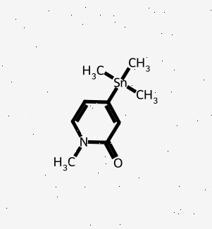 Cn1cc[c]([Sn]([CH3])([CH3])[CH3])cc1=O